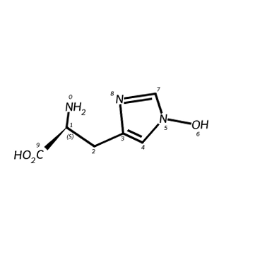 N[C@@H](Cc1cn(O)cn1)C(=O)O